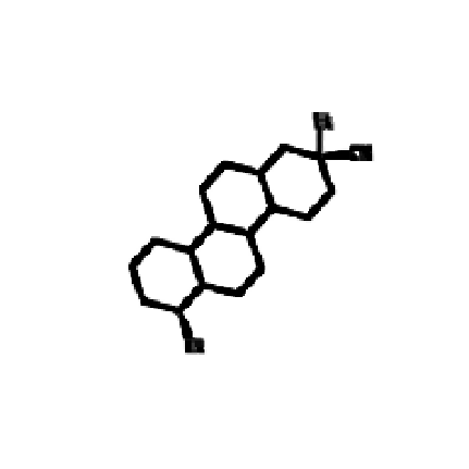 CC[C@H]1CCCC2C3CCC4C[C@](C#N)(CC)CCC4C3CCC21